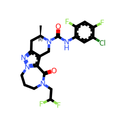 C[C@@H]1Cc2nn3c(c2CN1C(=O)Nc1cc(Cl)c(F)cc1F)C(=O)N(CC(F)F)CCC3